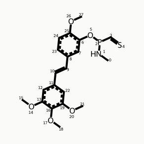 CNP(C=S)Oc1cc(/C=C/c2cc(OC)c(OC)c(OC)c2)ccc1OC